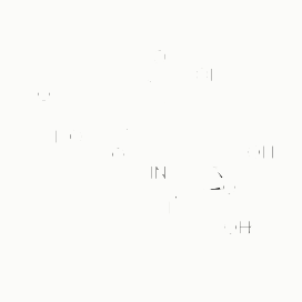 COc1ccc2c(c1O)C(=O)c1c3c(cc(O)c1C2=O)[C@@]12O[C@@]1([C@@H](C)O)[C@H](C#C/C=C\C#C[C@H]2O)N3